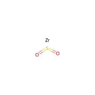 O=S=O.[Zr]